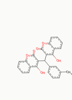 Cc1cccc(C(c2c(O)c3ccccc3oc2=O)c2c(O)c3ccccc3oc2=O)c1